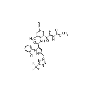 COC(=O)NNC(=O)c1cc(C#N)cc(C)c1NC(=O)c1cc(Cn2nnc(C(F)(F)F)n2)nn1-c1ncccc1Cl